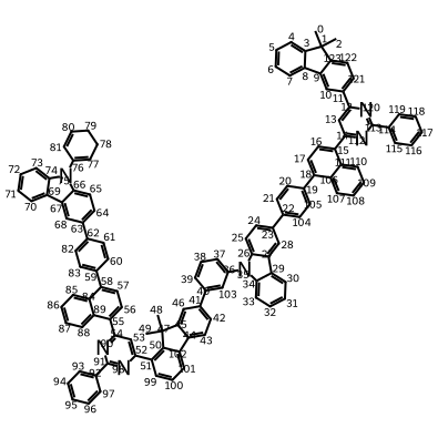 CC1(C)c2ccccc2-c2cc(-c3cc(-c4ccc(-c5ccc(-c6ccc7c(c6)c6ccccc6n7-c6cccc(-c7ccc8c(c7)C(C)(C)c7c(-c9cc(-c%10ccc(-c%11ccc(-c%12ccc%13c(c%12)c%12ccccc%12n%13C%12=CCCC=C%12)cc%11)c%11ccccc%10%11)nc(-c%10ccccc%10)n9)cccc7-8)c6)cc5)c5ccccc45)nc(-c4ccccc4)n3)ccc21